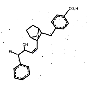 CCC(c1ccccc1)C(O)/C=C\C1C2CCC(O2)C1Cc1ccc(C(=O)O)cc1